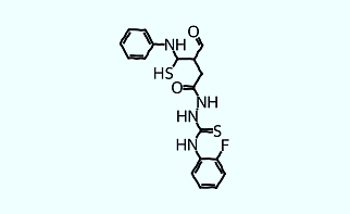 O=CC(CC(=O)NNC(=S)Nc1ccccc1F)C(S)Nc1ccccc1